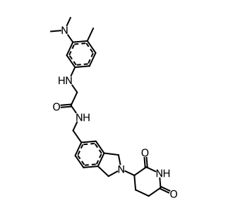 Cc1ccc(NCC(=O)NCc2ccc3c(c2)CN(C2CCC(=O)NC2=O)C3)cc1N(C)C